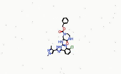 Cc1nn(C)cc1-c1nc2c3cccc(Cl)c3nc(N[C@@H]3CN(C(=O)OCc4ccccc4)CCNC3=O)n2n1